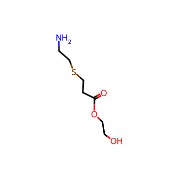 NCCSCCC(=O)OCCO